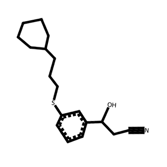 N#CCC(O)c1cccc(SCCCC2CCCCC2)c1